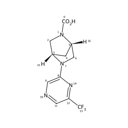 O=C(O)N1C[C@@H]2C[C@H]1CN2c1cncc(C(F)(F)F)n1